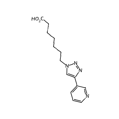 O=C(O)CCCCCCn1cc(-c2cccnc2)nn1